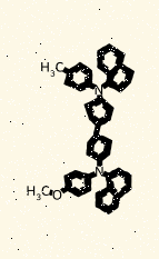 COc1ccc(N(c2ccc(-c3ccc(N(c4ccc(C)cc4)c4cccc5ccccc45)cc3)cc2)c2cccc3ccccc23)cc1